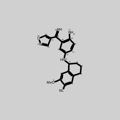 COc1cc2c(cc1C#N)CCCC2Nc1ccc(N)c(C(=N)c2cnoc2)c1